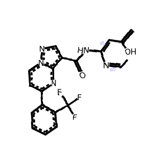 C=C(O)/C=C(\N=C/C)NC(=O)c1cnn2ccc(-c3ccccc3C(F)(F)F)nc12